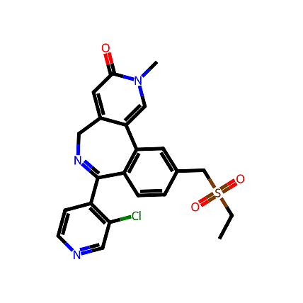 CCS(=O)(=O)Cc1ccc2c(c1)-c1cn(C)c(=O)cc1CN=C2c1ccncc1Cl